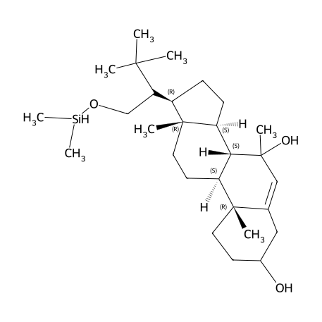 C[SiH](C)OCC([C@H]1CC[C@H]2[C@H]3[C@H](CC[C@]12C)[C@@]1(C)CCC(O)CC1=CC3(C)O)C(C)(C)C